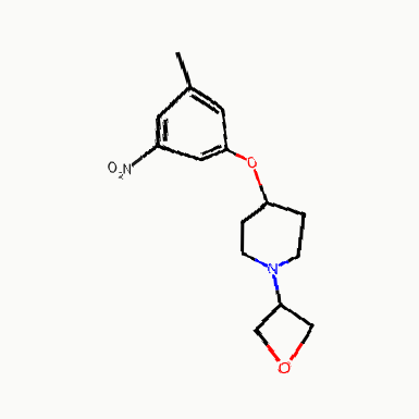 Cc1cc(OC2CCN(C3COC3)CC2)cc([N+](=O)[O-])c1